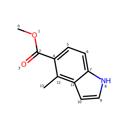 COC(=O)c1ccc2[nH]ccc2c1C